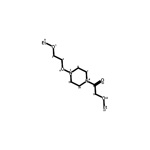 CCOCCON1CCN(C(=O)COCC)CC1